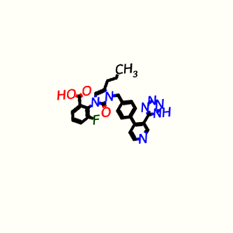 CCCc1cn(-c2c(F)cccc2C(=O)O)c(=O)n1Cc1ccc(-c2ccncc2-c2nnn[nH]2)cc1